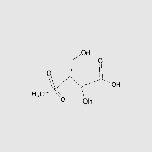 CS(=O)(=O)C(CO)C(O)C(=O)O